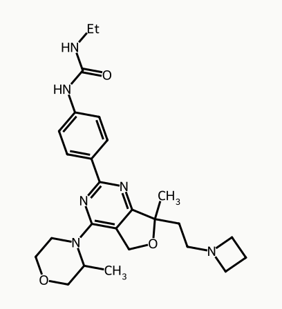 CCNC(=O)Nc1ccc(-c2nc(N3CCOCC3C)c3c(n2)C(C)(CCN2CCC2)OC3)cc1